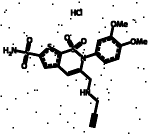 C#CCNCC1=Cc2cc(S(N)(=O)=O)sc2S(=O)(=O)N1c1ccc(OC)c(OC)c1.Cl